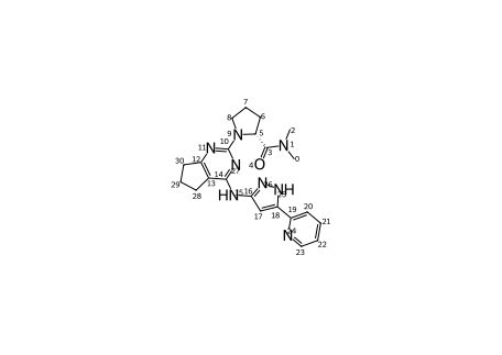 CN(C)C(=O)[C@H]1CCCN1c1nc2c(c(Nc3cc(-c4ccccn4)[nH]n3)n1)CCC2